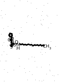 CCCCCCCCCCCCCCCCCCNC(=O)OCC1(COC(=O)Oc2ccccc2)CSC1